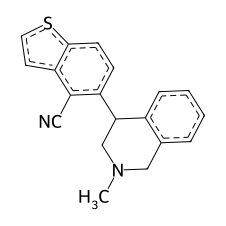 CN1Cc2ccccc2C(c2ccc3sccc3c2C#N)C1